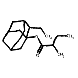 CCC(C)C(=O)OC12CC3CC(CC(C3)C1CC)C2